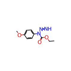 CCOC(=O)N(N=N)c1ccc(OC)cc1